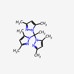 Cc1cc(C)n(C(C)(n2nc(C)cc2C)n2nc(C)cc2C)n1